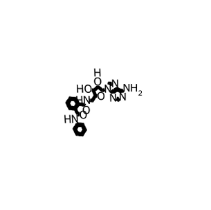 Nc1ncnc2c1ncn2C1OC(CNC(=O)c2ccccc2C(=O)Nc2ccccc2)C(O)C1O